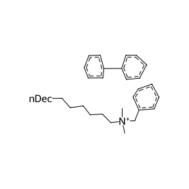 CCCCCCCCCCCCCCCC[N+](C)(C)Cc1ccccc1.c1ccc(-c2ccccc2)cc1